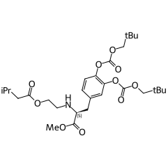 COC(=O)[C@H](Cc1ccc(OC(=O)OCC(C)(C)C)c(OC(=O)OCC(C)(C)C)c1)NCCOC(=O)CC(C)C